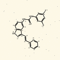 O=C(Nc1cc(F)cc(F)c1)Nc1ccc2[nH]nc(C=Cc3ccccn3)c2c1